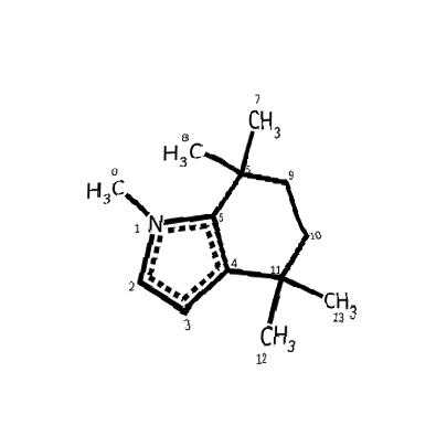 Cn1ccc2c1C(C)(C)CCC2(C)C